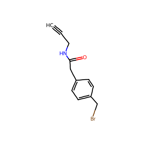 C#CCNC(=O)Cc1ccc(CBr)cc1